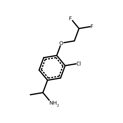 CC(N)c1ccc(OCC(F)F)c(Cl)c1